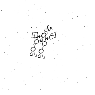 Cc1ccc(-c2ccc3c(c2)B2c4cc(-c5ccc(C)cc5)ccc4N(C45CC6CC7CC(C4)C765)c4cc(OC(F)(F)F)cc(c42)N3C23CC4CC5CC(C2)C54C3)cc1